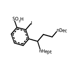 CCCCCCCCCCCCC(CCCCCCC)c1cccc(S(=O)(=O)O)c1I